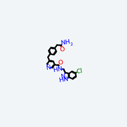 NC(=O)Cc1ccc(Cc2cncc(C(=O)NCc3n[nH]c4ccc(Cl)cc34)c2)cc1